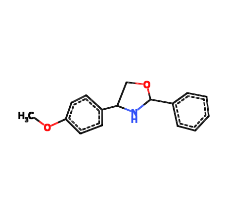 COc1ccc(C2COC(c3ccccc3)N2)cc1